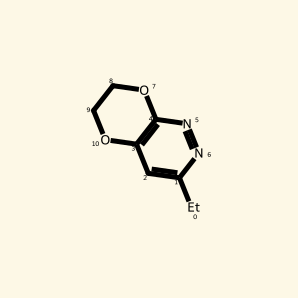 CCc1cc2c(nn1)OCCO2